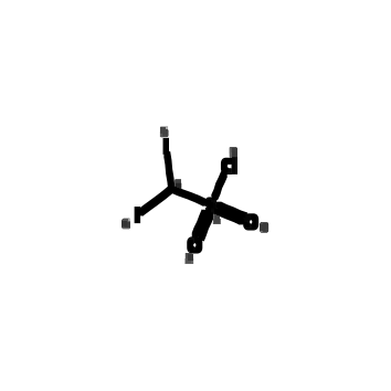 O=S(=O)(Cl)C(I)I